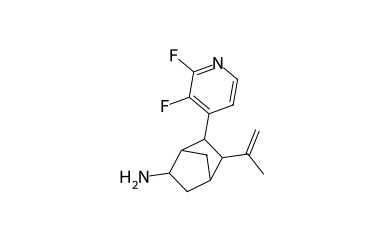 C=C(C)C1C2CC(N)C(C2)C1c1ccnc(F)c1F